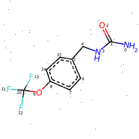 NC(=O)NCc1ccc(OC(F)(F)F)cc1